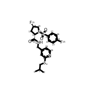 CC(C)CSc1cc(CNC(=O)[C@@H]2C[C@@H](F)CN2S(=O)(=O)c2ccc(F)cc2)ccn1